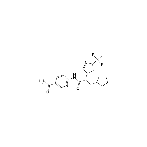 NC(=O)c1ccc(NC(=O)C(CC2CCCC2)n2cnc(C(F)(F)F)c2)nc1